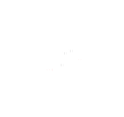 C=O.CC(C)=O.Oc1ccccc1